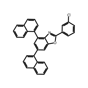 Clc1cccc(-c2nc3c(-c4cccc5ccccc45)cc(-c4cccc5ccccc45)cc3o2)c1